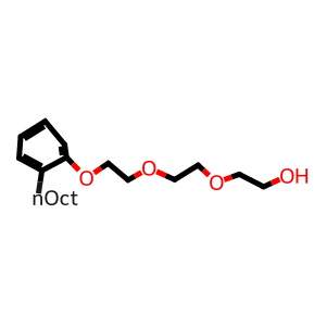 CCCCCCCCc1ccccc1OCCOCCOCCO